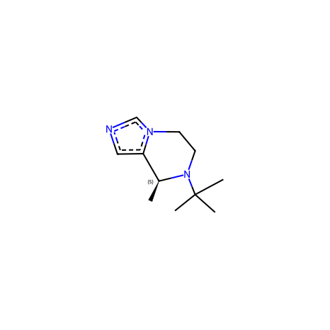 C[C@H]1c2cncn2CCN1C(C)(C)C